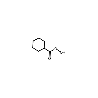 O=C(OO)C1CCCCC1